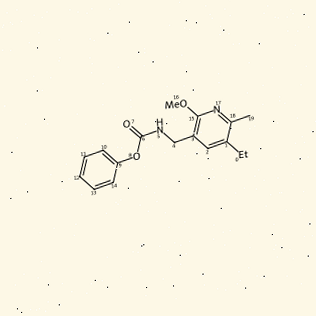 CCc1cc(CNC(=O)Oc2ccccc2)c(OC)nc1C